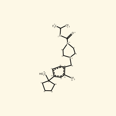 O=C(OC(C(F)(F)F)C(F)(F)F)N1CCN(Cc2ccc(C3(C(=O)O)CCCC3)cc2C(F)(F)F)CC1